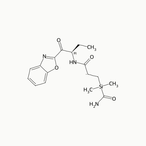 CC[C@@H](NC(=O)[CH]C[Si](C)(C)C(N)=O)C(=O)c1nc2ccccc2o1